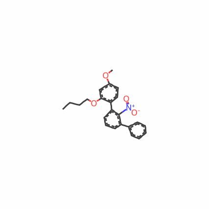 CCCCOc1cc(OC)ccc1-c1cccc(-c2ccccc2)c1[N+](=O)[O-]